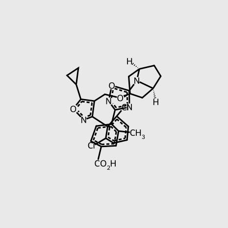 Cc1cc(C(=O)O)ccc1-c1noc(N2[C@@H]3CC[C@H]2C[C@@H](OCc2c(-c4c(Cl)cccc4Cl)noc2C2CC2)C3)n1